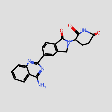 Nc1nc(-c2ccc3c(c2)CN(C2CCC(=O)NC2=O)C3=O)nc2ccccc12